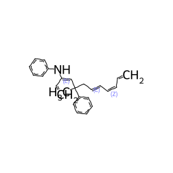 C=C/C=C\C=C\CC(C)(/C=C(\C=C)Nc1ccccc1)c1ccccc1